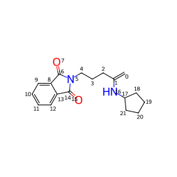 C=C(CCCN1C(=O)c2ccccc2C1=O)NC1CCCC1